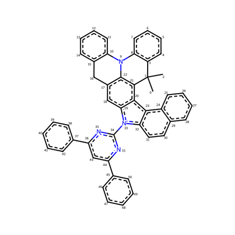 CC1(C)c2ccccc2N2c3ccccc3Cc3cc4c(c1c32)c1c2ccccc2ccc1n4-c1nc(-c2ccccc2)cc(-c2ccccc2)n1